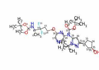 C[C@H](NC(=O)OC(C)(C)C)C(F)(F)CCOc1cncc(N(C(=O)OC(C)(C)C)c2cc([C@H]3CC[C@@H](O)C3)nn2C(C)(C)C)n1